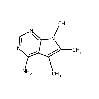 Cc1c(C)n(C)c2ncnc(N)c12